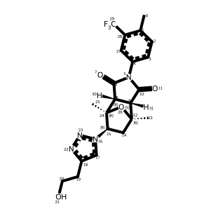 Cc1ccc(N2C(=O)[C@@H]3[C@H](C2=O)[C@@]2(C)C[C@@H](n4cc(CCO)nn4)[C@]3(C)O2)cc1C(F)(F)F